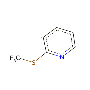 FC(F)(F)Sc1[c]cccn1